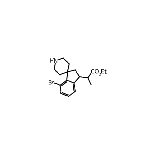 CCOC(=O)C(C)C1CC2(CCNCC2)c2c(Br)cccc21